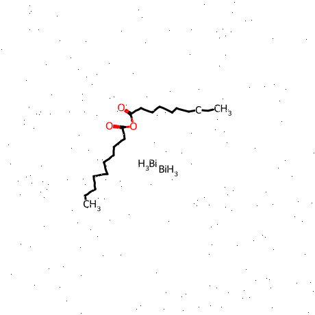 CCCCCCCCCC(=O)OC(=O)CCCCCCCCC.[BiH3].[BiH3]